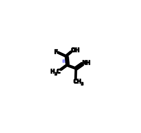 CC(=N)/C(C)=C(\O)F